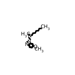 CCCCCCCCN(C)CCn1cnc2ccc(OC)cc21